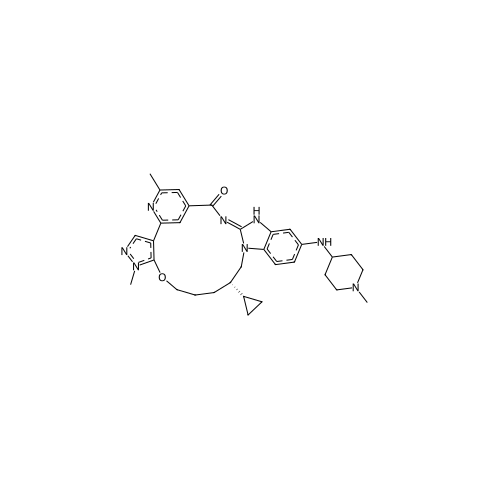 Cc1cc2cc(n1)-c1cnn(C)c1OCCC[C@@H](C1CC1)CN1/C(=N/C2=O)Nc2cc(NC3CCN(C)CC3)ccc21